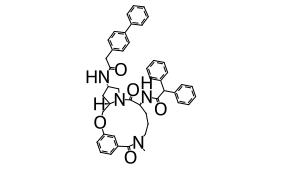 CN1CCC[C@H](NC(=O)C(c2ccccc2)c2ccccc2)C(=O)N2C[C@@H](NC(=O)Cc3ccc(-c4ccccc4)cc3)C[C@H]2COc2cccc(c2)C1=O